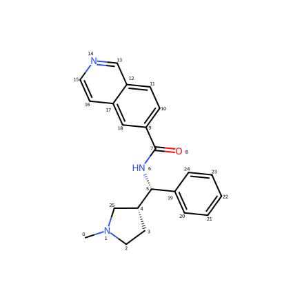 CN1CC[C@@H]([C@H](NC(=O)c2ccc3cnccc3c2)c2ccccc2)C1